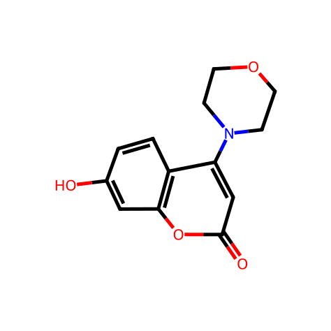 O=c1cc(N2CCOCC2)c2ccc(O)cc2o1